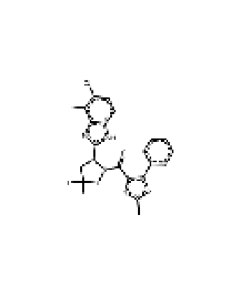 Cc1nc(C(=O)N2CC(F)(F)CC2c2nc3c(C)c(Cl)ccc3[nH]2)c(-c2ccccc2)s1